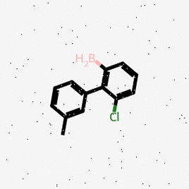 Bc1cccc(Cl)c1-c1cccc(C)c1